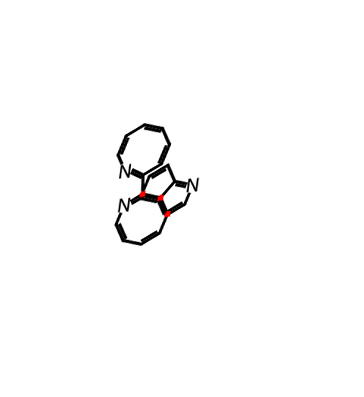 C1=C\C=C/C(C2=N/C=C\C=C/C=C\2C2=N\C=C/C=C/C=C\2)=N\C=C/1